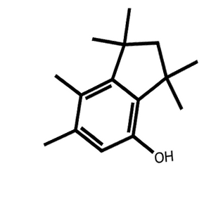 Cc1cc(O)c2c(c1C)C(C)(C)CC2(C)C